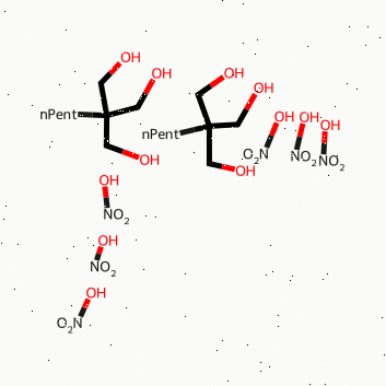 CCCCCC(CO)(CO)CO.CCCCCC(CO)(CO)CO.O=[N+]([O-])O.O=[N+]([O-])O.O=[N+]([O-])O.O=[N+]([O-])O.O=[N+]([O-])O.O=[N+]([O-])O